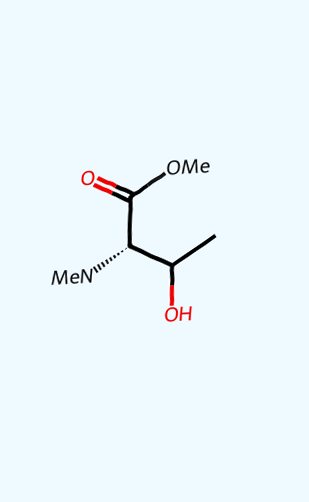 CN[C@H](C(=O)OC)C(C)O